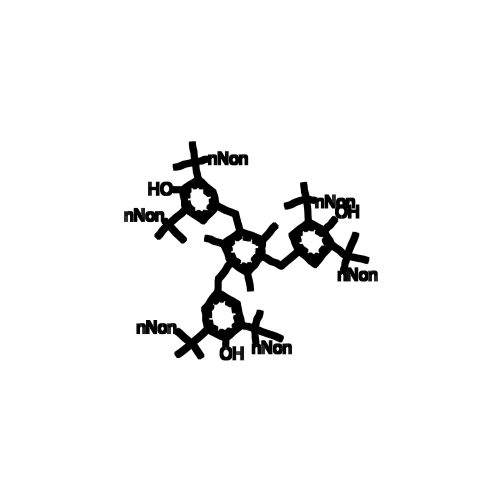 CCCCCCCCCC(C)(C)c1cc(Cc2c(C)c(Cc3cc(C(C)(C)CCCCCCCCC)c(O)c(C(C)(C)CCCCCCCCC)c3)c(C)c(Cc3cc(C(C)(C)CCCCCCCCC)c(O)c(C(C)(C)CCCCCCCCC)c3)c2C)cc(C(C)(C)CCCCCCCCC)c1O